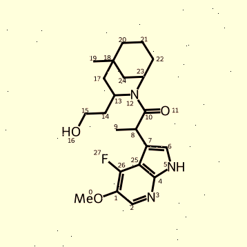 COc1cnc2[nH]cc(C(C)C(=O)N3C(CCO)CC4(C)CCCC3C4)c2c1F